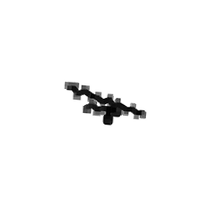 CCCCCCCCCCCCCC.CCCCP(=O)=O